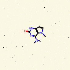 CN(C)c1nc(=O)[nH]c2ccn(C)c12